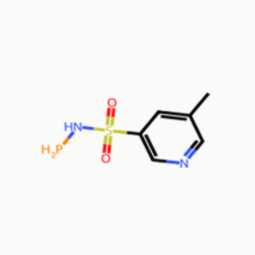 Cc1cncc(S(=O)(=O)NP)c1